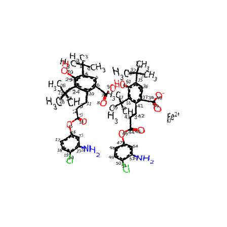 CC(C)(C)c1cc(C(=O)[O-])c(CCC(=O)Oc2ccc(Cl)c(N)c2)c(C(C)(C)C)c1O.CC(C)(C)c1cc(C(=O)[O-])c(CCC(=O)Oc2ccc(Cl)c(N)c2)c(C(C)(C)C)c1O.[Fe+2]